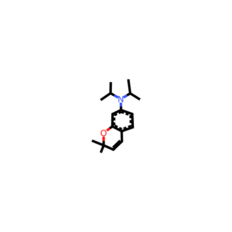 CC(C)N(c1ccc2c(c1)OC(C)(C)C=C2)C(C)C